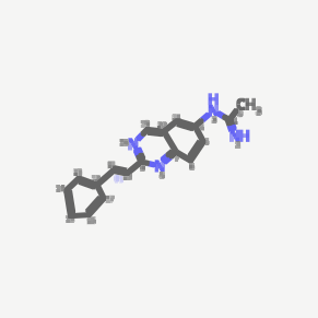 CC(=N)Nc1ccc2nc(/C=C/c3ccccc3)ncc2c1